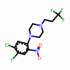 O=[N+]([O-])c1cc(F)c(Cl)cc1N1CCN(CCC(F)(F)F)CC1